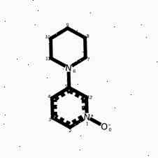 [O-][n+]1cccc(N2CCCCC2)c1